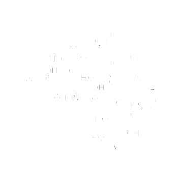 CCO[C@@H](OC1C(NC(C)=O)[C@H](C)OC(CO)[C@H]1O[C@@H]1OC(CO)[C@H](O)C(O[C@]2(C(=O)O)CC(O)[C@@H](NC(C)=O)C([C@H](O)[C@H](O)COC)O2)C1O)C(O)C(O)[C@@H](C)O